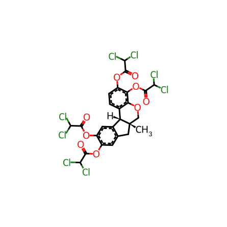 C[C@]12COc3c(ccc(OC(=O)C(Cl)Cl)c3OC(=O)C(Cl)Cl)[C@H]1c1cc(OC(=O)C(Cl)Cl)c(OC(=O)C(Cl)Cl)cc1C2